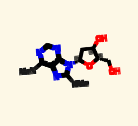 CNc1ncnc2c1nc(NC)n2[C@@H]1C[C@@H](O)[C@H](CO)O1